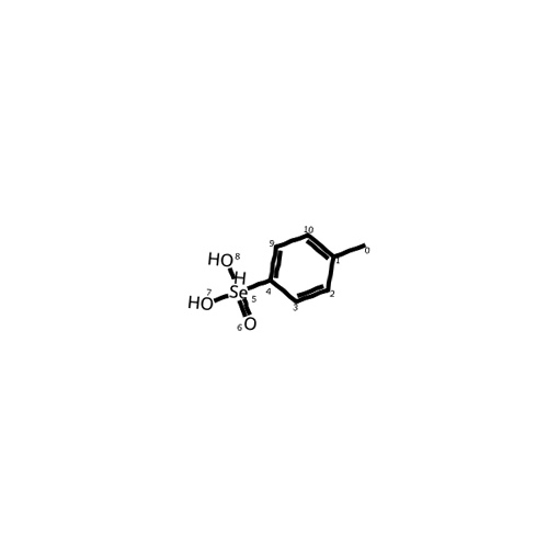 Cc1ccc([SeH](=O)(O)O)cc1